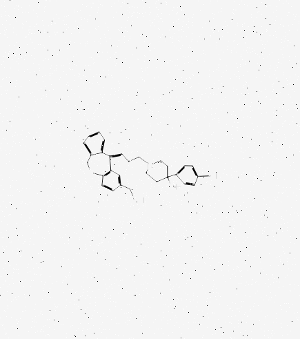 NCc1ccc2c(c1)/C(=C\CCN1CCC(O)(c3ccc(Cl)cc3)CC1)c1ccccc1CO2